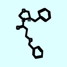 O=C(CCOCc1ccccc1)N1COC[C@H]1Cc1ccccc1